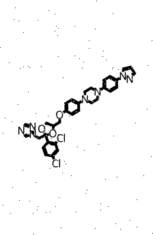 Clc1ccc(C2(Cn3cncn3)OCC(COc3ccc(N4CCN(c5ccc(-n6cccn6)cc5)CC4)cc3)O2)c(Cl)c1